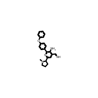 CN1CCCC1c1cc(C=N)c(N)c(-c2ccc(Oc3ccccc3)cc2)n1